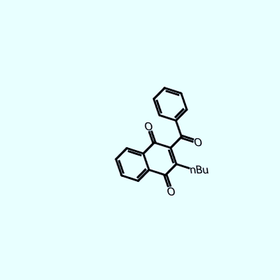 CCCCC1=C(C(=O)c2ccccc2)C(=O)c2ccccc2C1=O